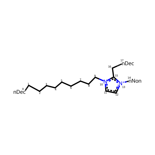 CCCCCCCCCCCCCCCCCCCn1cc[n+](CCCCCCCCC)c1CCCCCCCCCCC